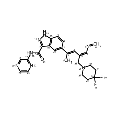 C=N/C=C(\C=C(/C)c1ccc2[nH]nc(C(=O)Nc3cnccn3)c2c1)CN1CCC(F)(F)CC1